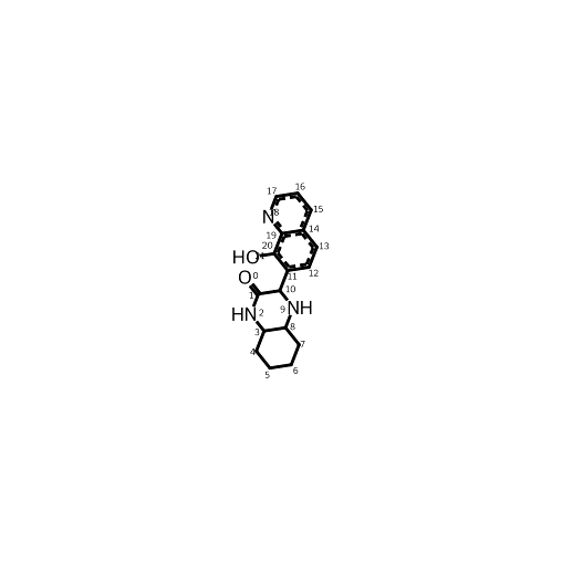 O=C1NC2CCCCC2NC1c1ccc2cccnc2c1O